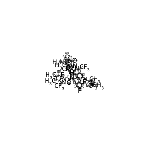 C[C@@H]1c2c(C(F)(F)F)nn(CC(=O)N[C@@H](Cc3cc(F)cc(F)c3)c3nc(C#CC(C)(C)S(C)(=O)=O)ccc3-c3ccc(Cl)c4c(N(C(=O)N5CCC[C@H]5CN)S(C)(=O)=O)nn(CC(F)(F)F)c34)c2C(F)(F)[C@@H]1C